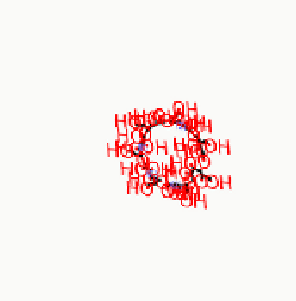 OCCC1OC(O)C(O)C(O)C(CCO)OC(O)/C(O)=C(\O)C(CCO)OC(O)/C(O)=C(\O)C(CCO)OC(O)/C(O)=C(/O)C(CCO)OC2OC(CO)C(OC3OC(CO)C(OC(O)/C(O)=C\1O)C(O)C3O)C(O)C2O